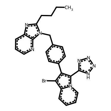 CCCCc1nc2cccnc2n1Cc1ccc(-c2c(Br)c3ccccn3c2-c2nnn[nH]2)cc1